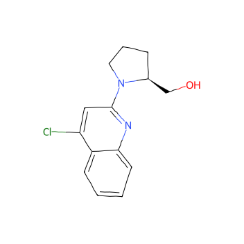 OC[C@@H]1CCCN1c1cc(Cl)c2ccccc2n1